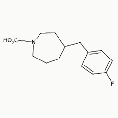 O=C(O)N1CCCC(Cc2ccc(F)cc2)CC1